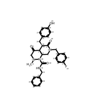 CN1CC(=O)C2C(CN(Cc3ccc(F)cc3)C(=O)[C@@H]2Cc2ccc(O)cc2)N1C(=O)NCc1ccccc1